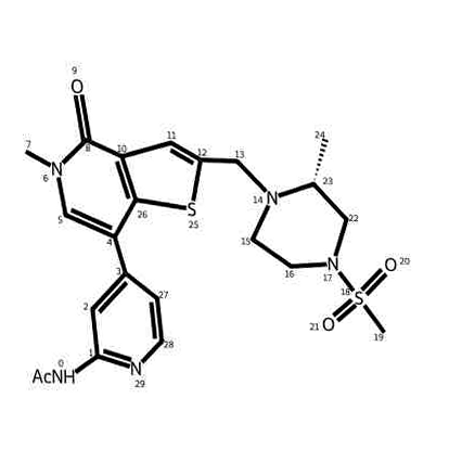 CC(=O)Nc1cc(-c2cn(C)c(=O)c3cc(CN4CCN(S(C)(=O)=O)C[C@H]4C)sc23)ccn1